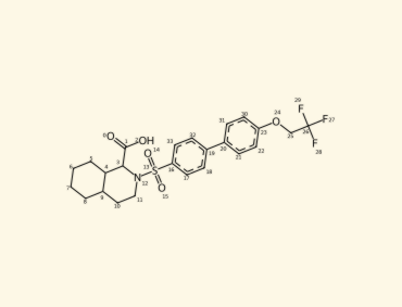 O=C(O)C1C2CCCCC2CCN1S(=O)(=O)c1ccc(-c2ccc(OCC(F)(F)F)cc2)cc1